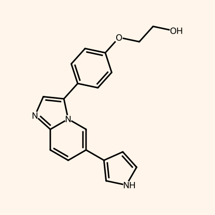 OCCOc1ccc(-c2cnc3ccc(-c4cc[nH]c4)cn23)cc1